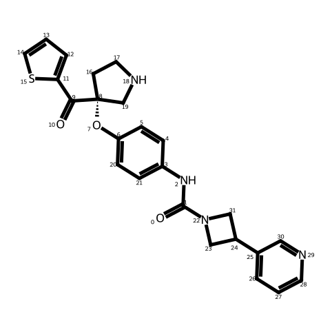 O=C(Nc1ccc(O[C@]2(C(=O)c3cccs3)CCNC2)cc1)N1CC(c2cccnc2)C1